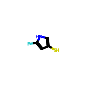 Fc1cc(S)c[nH]1